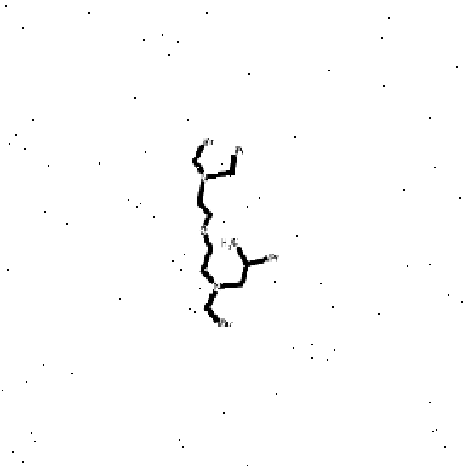 CCC(C)CN(CCOCCN(CC(C)C)CC(C)C)CC(C)C(C)C